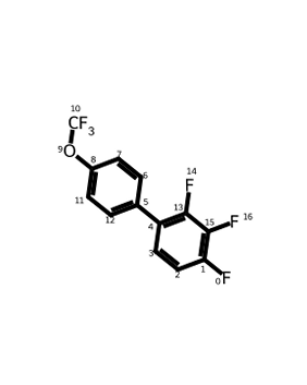 Fc1ccc(-c2ccc(OC(F)(F)F)cc2)c(F)c1F